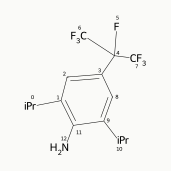 CC(C)c1cc(C(F)(C(F)(F)F)C(F)(F)F)cc(C(C)C)c1N